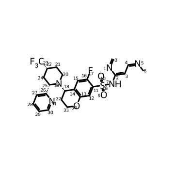 C=N/C(=C\C=N/C)NS(=O)(=O)c1cc2c(cc1F)[C@@H](N1CC[C@@H](C(F)(F)F)C[C@H]1c1ccccn1)CCO2